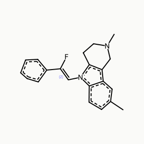 Cc1ccc2c(c1)c1c(n2/C=C(\F)c2ccccc2)CCN(C)C1